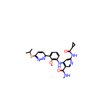 CNC(=O)c1cnc(NC(=O)C2CC2)cc1Nc1cccc(-c2ccc(SC(C)C)nn2)c1OC